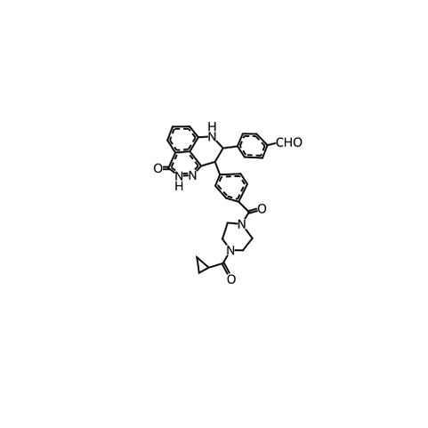 O=Cc1ccc(C2Nc3cccc4c(=O)[nH]nc(c34)C2c2ccc(C(=O)N3CCN(C(=O)C4CC4)CC3)cc2)cc1